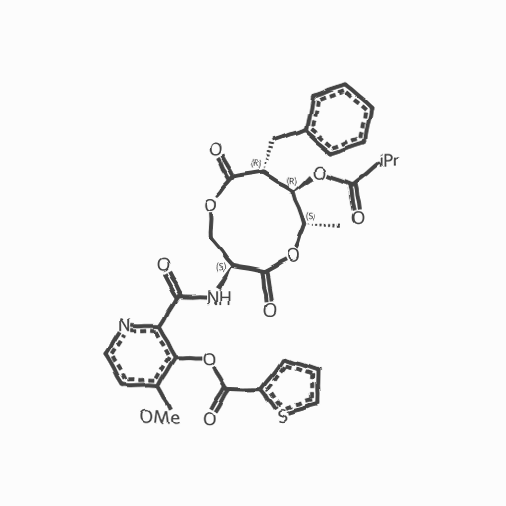 COc1ccnc(C(=O)N[C@H]2COC(=O)[C@H](Cc3ccccc3)[C@@H](OC(=O)C(C)C)[C@H](C)OC2=O)c1OC(=O)c1cccs1